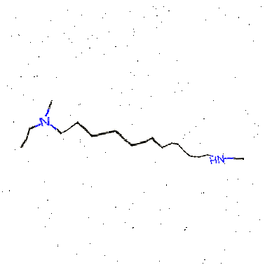 CCN(C)CCCCCCCCCCNC